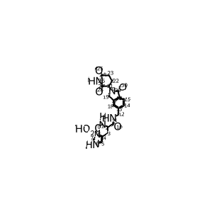 O=C(O)NC(Cc1c[nH]cn1)C(=O)NCc1ccc2c(c1)CN([C@@H]1CCC(=O)NC1=O)C2=O